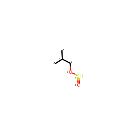 CC(C)[CH]O[SH]=O